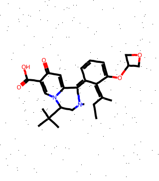 CC/C(C)=c1/c(OC2COC2)ccc/c1=C1\c2cc(=O)c(C(=O)O)cn2C(C(C)(C)C)CN1C